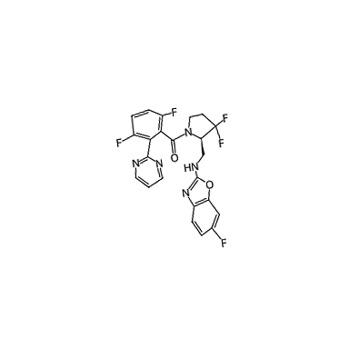 O=C(c1c(F)ccc(F)c1-c1ncccn1)N1CCC(F)(F)[C@H]1CNc1nc2ccc(F)cc2o1